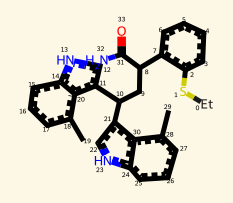 CCSc1ccccc1C(CC(c1c[nH]c2cccc(C)c12)c1c[nH]c2cccc(C)c12)C(N)=O